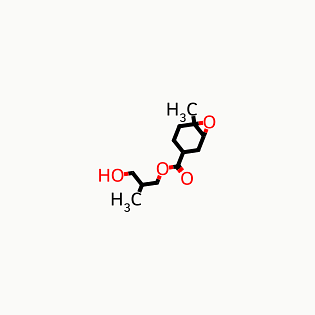 CC(CO)COC(=O)C1CCC2(C)OC2C1